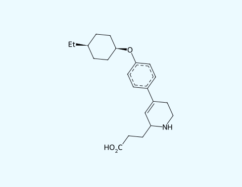 CC[C@H]1CC[C@@H](Oc2ccc(C3=CC(CCC(=O)O)NCC3)cc2)CC1